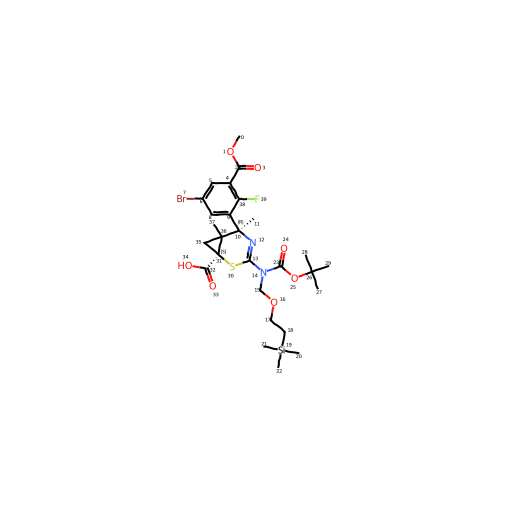 COC(=O)c1cc(Br)cc([C@@]2(C)N=C(N(COCC[Si](C)(C)C)C(=O)OC(C)(C)C)S[C@@]3(C(=O)O)CC32C)c1F